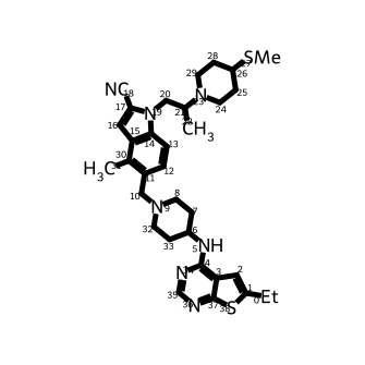 CCc1cc2c(NC3CCN(Cc4ccc5c(cc(C#N)n5CC(C)N5CCC(SC)CC5)c4C)CC3)ncnc2s1